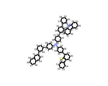 c1cc(-c2ccc(N(c3ccc(-c4ccc(-c5ccccc5-n5c6ccccc6c6ccccc65)cc4)cc3)c3ccc(-c4cccc5c4sc4ccccc45)cc3)cc2)cc(-c2ccc3ccccc3c2)c1